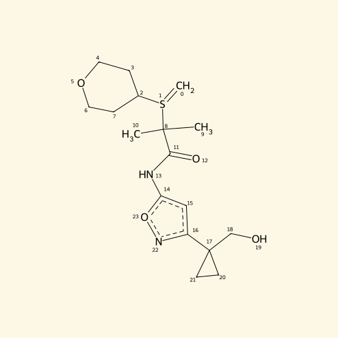 C=S(C1CCOCC1)C(C)(C)C(=O)Nc1cc(C2(CO)CC2)no1